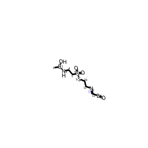 CB(O)NCCS(=O)(=O)SCC/N=C/B=O